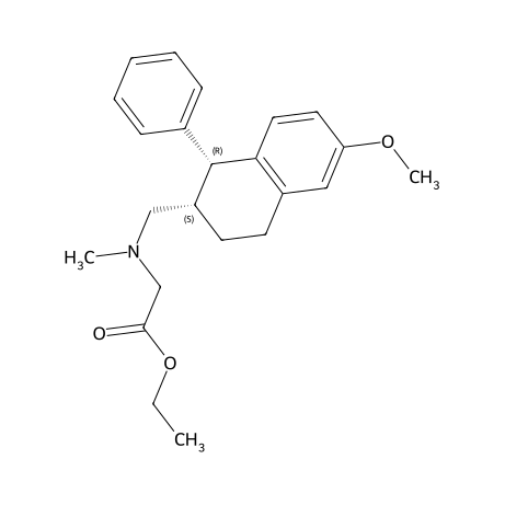 CCOC(=O)CN(C)C[C@H]1CCc2cc(OC)ccc2[C@H]1c1ccccc1